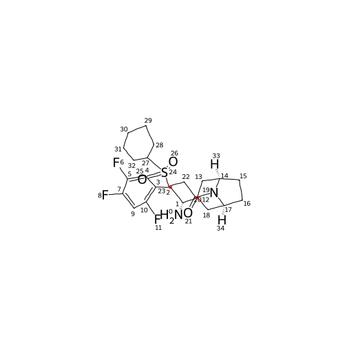 N[C@H](Cc1cc(F)c(F)cc1F)C1C[C@H]2CC[C@@H](C1)N2C(=O)CCS(=O)(=O)C1CCCCC1